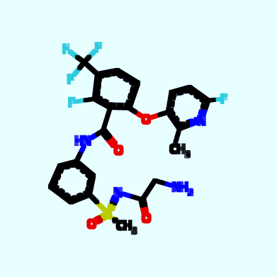 Cc1nc(F)ccc1Oc1ccc(C(F)(F)F)c(F)c1C(=O)Nc1cccc([S@@](C)(=O)=NC(=O)CN)c1